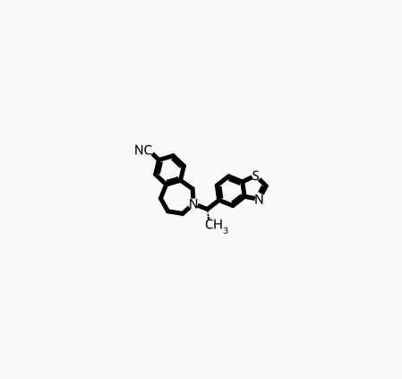 C[C@@H](c1ccc2scnc2c1)N1CCCc2cc(C#N)ccc2C1